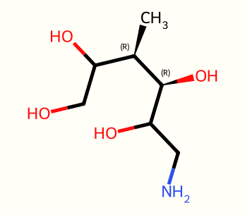 C[C@H](C(O)CO)[C@@H](O)C(O)CN